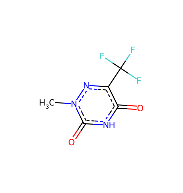 Cn1nc(C(F)(F)F)c(=O)[nH]c1=O